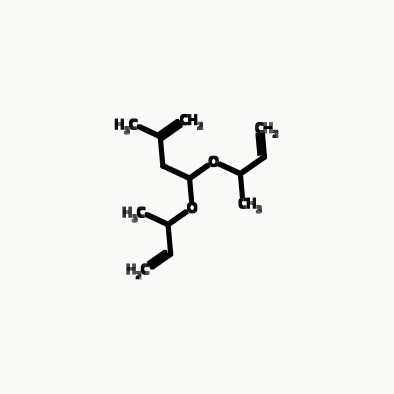 C=CC(C)OC(CC(=C)C)OC(C)C=C